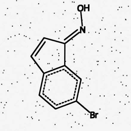 ON=C1C=Cc2ccc(Br)cc21